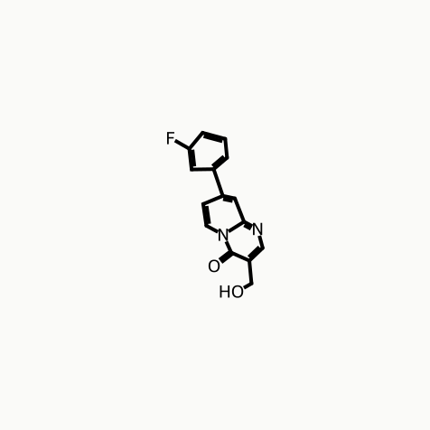 O=c1c(CO)cnc2cc(-c3cccc(F)c3)ccn12